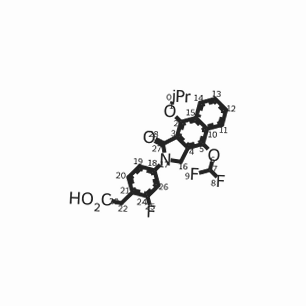 CC(C)Oc1c2c(c(OC(F)F)c3ccccc13)CN(c1ccc(CC(=O)O)c(F)c1)C2=O